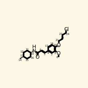 COc1cc(/C=C/C(=O)N[C@H]2CC[C@H](C)CC2)ccc1OCCCCCl